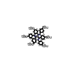 CC(C)(C)c1ccc(/C=[C](\c2ccc(C(C)(C)C)cc2)[Ni](/[C](=C/c2ccc(C(C)(C)C)cc2)c2ccc(C(C)(C)C)cc2)/[C](=C/c2ccc(C(C)(C)C)cc2)c2ccc(C(C)(C)C)cc2)cc1